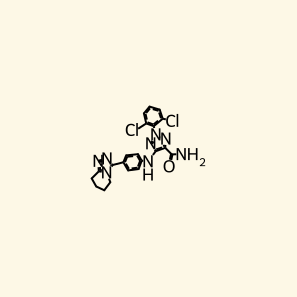 NC(=O)c1nn(-c2c(Cl)cccc2Cl)nc1Nc1ccc(-c2nnc3n2CCCC3)cc1